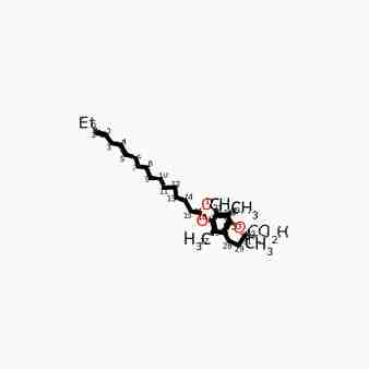 CC/C=C/CCCCCCCCCCCCCC(=O)Oc1c(C)c(C)c2c(c1C)CCC(C)(C(=O)O)O2